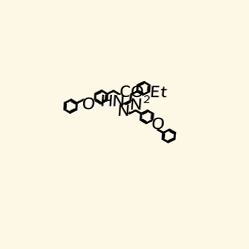 CCOC(=O)C(Cc1ccc(OCc2ccccc2)cc1)Nc1ncc(-c2ccc(OCc3ccccc3)cc2)nc1Cc1ccccc1